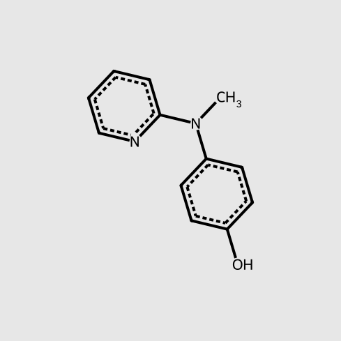 CN(c1ccc(O)cc1)c1ccccn1